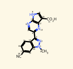 Cn1nc(-c2cnc3[nH]cc(C(=O)O)c3n2)c2ccc(C#N)cc21